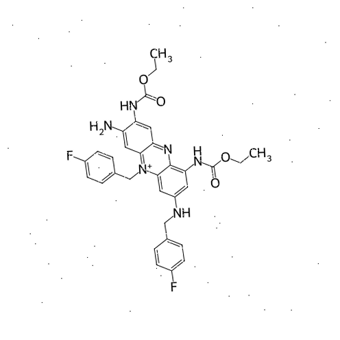 CCOC(=O)Nc1cc2nc3c(NC(=O)OCC)cc(NCc4ccc(F)cc4)cc3[n+](Cc3ccc(F)cc3)c2cc1N